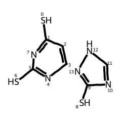 Sc1ccnc(S)n1.Sc1nc[nH]n1